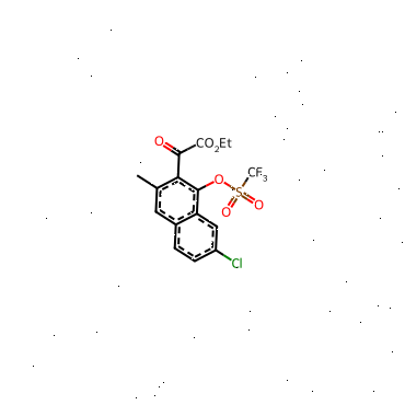 CCOC(=O)C(=O)c1c(C)cc2ccc(Cl)cc2c1OS(=O)(=O)C(F)(F)F